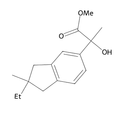 CCC1(C)Cc2ccc(C(C)(O)C(=O)OC)cc2C1